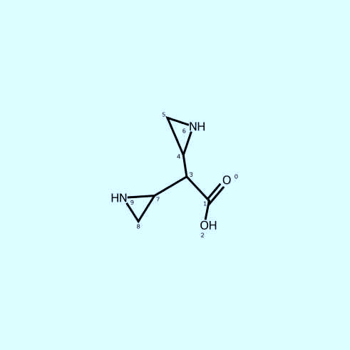 O=C(O)C(C1CN1)C1CN1